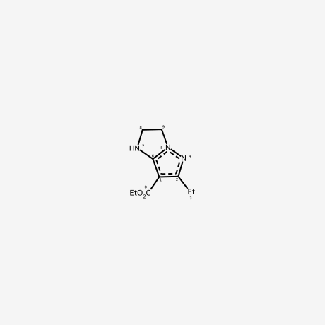 CCOC(=O)c1c(CC)nn2c1NCC2